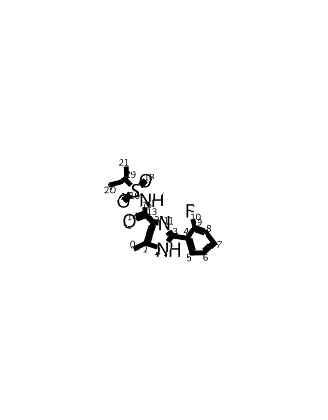 Cc1[nH]c(-c2ccccc2F)nc1C(=O)NS(=O)(=O)C(C)C